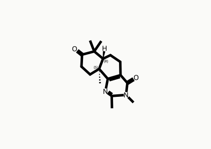 Cc1nc2c(c(=O)n1C)CC[C@H]1C(C)(C)C(=O)CC[C@]21C